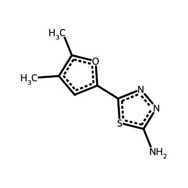 Cc1cc(-c2nnc(N)s2)oc1C